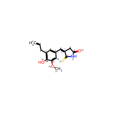 C=CCc1cc(/C=C2/CC(=O)NC2=S)cc(OC)c1O